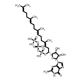 CC(C)=CCC/C(C)=C/CC/C(C)=C/CC/C(C)=C/CC(OP(=O)(O)OP(=O)(O)OP(=O)(O)O)[C@H]1O[C@@H](n2cnc3c(=O)[nH]c(N)nc32)[C@H](O)[C@@H]1O